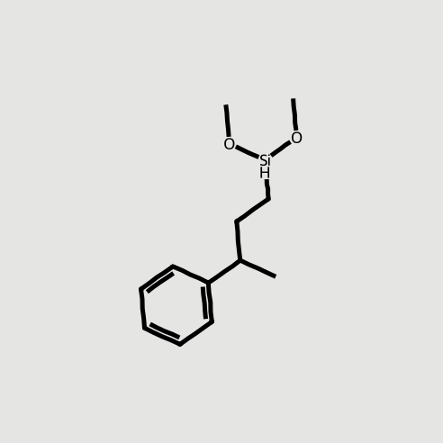 CO[SiH](CCC(C)c1ccccc1)OC